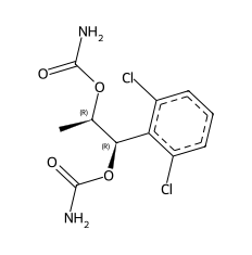 C[C@@H](OC(N)=O)[C@H](OC(N)=O)c1c(Cl)cccc1Cl